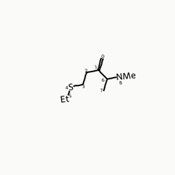 C=C(CCSCC)C(C)NC